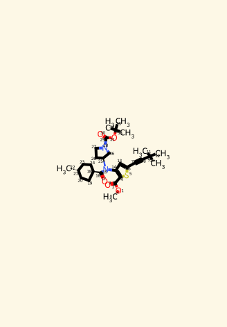 COC(=O)c1sc(C#CC(C)(C)C)cc1N(C(=O)[C@H]1CC[C@H](C)CC1)[C@H]1CCN(C(=O)OC(C)(C)C)C1